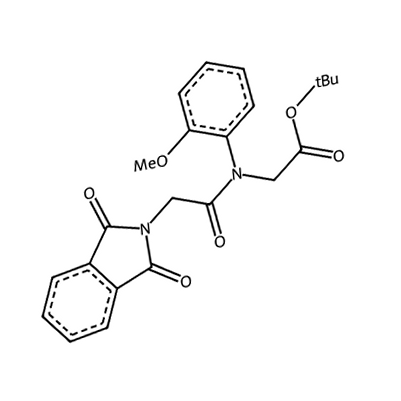 COc1ccccc1N(CC(=O)OC(C)(C)C)C(=O)CN1C(=O)c2ccccc2C1=O